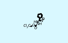 O=C(NNc1noc2ccccc12)OCC(Cl)(Cl)Cl